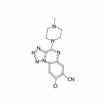 CN1CCN(c2nc3cc(C#N)c(Cl)cc3n3nnnc23)CC1